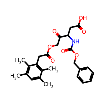 Cc1cc(C)c(C)c(CC(=O)OCC(=O)C(CC(=O)O)NC(=O)OCc2ccccc2)c1C